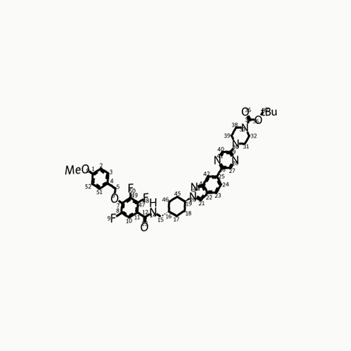 COc1ccc(COc2c(F)cc(C(=O)NC[C@H]3CC[C@H](n4cc5ccc(-c6cnc(N7CCN(C(=O)OC(C)(C)C)CC7)cn6)cc5n4)CC3)c(F)c2F)cc1